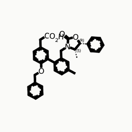 Cc1ccc(-c2cc(CC(=O)O)ccc2OCc2ccccc2)c(CN2C(=O)O[C@H](c3ccccc3)[C@@H]2C)c1